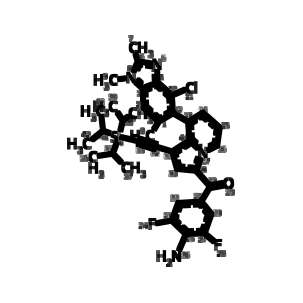 Cc1cc2c(nc(C)n2C)c(Cl)c1-c1cccn2c(C(=O)c3cc(F)c(N)c(F)c3)cc(C#C[Si](C(C)C)(C(C)C)C(C)C)c12